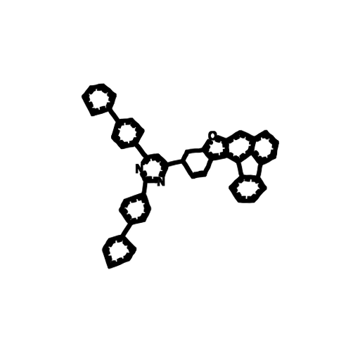 C1=CC(c2cc(-c3ccc(-c4ccccc4)cc3)nc(-c3ccc(-c4ccccc4)cc3)n2)Cc2oc3cc4cccc5c4c(c3c21)-c1ccccc1-5